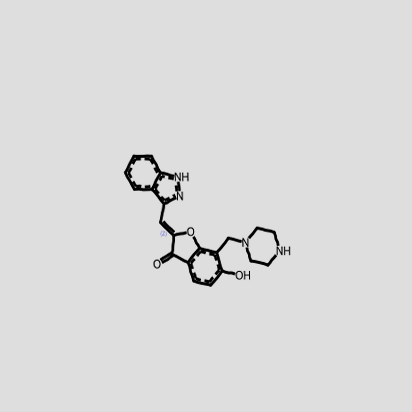 O=C1/C(=C/c2n[nH]c3ccccc23)Oc2c1ccc(O)c2CN1CCNCC1